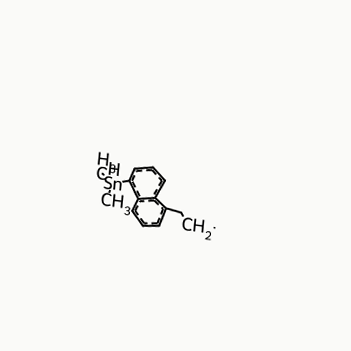 [CH2]Cc1cccc2[c]([SnH]([CH3])[CH3])cccc12